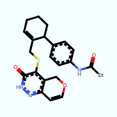 CCC(=O)Nc1ccc(C2CCCC=C2CSc2c3c(n[nH]c2=O)C=COC3)cc1